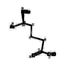 CN[C@@H](CCCC(=O)C=O)C(C)=O